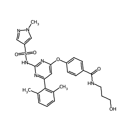 Cc1cccc(C)c1-c1cc(Oc2ccc(C(=O)NCCCO)cc2)nc(NS(=O)(=O)c2cnn(C)c2)n1